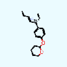 CC/C=C/[C@H](CC)c1ccc(OC2CCCCO2)cc1